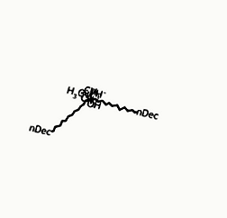 CCCCCCCCCCCCCCCCCCCCCCC(O)(CCCCCCCCCCCCCCCCCCCCCC)C([PH-])[N+](C)(C)C